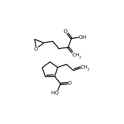 C=C(CCC1CO1)C(=O)O.C=CCC1CCC=C1C(=O)O